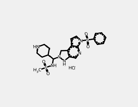 CS(=O)(=O)NC(C1CCNCC1)N1Cc2c(cnc3c2ccn3S(=O)(=O)c2ccccc2)N1.Cl